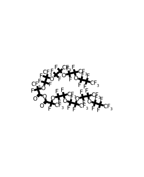 O=C(OC(=O)C(F)(OC(F)(F)C(F)(OC(F)(F)C(F)(OC(F)(F)C(F)(OC(F)(F)C(F)(F)C(F)(F)F)C(F)(F)F)C(F)(F)F)C(F)(F)F)C(F)(F)F)C(F)(OC(F)(F)C(F)(OC(F)(F)C(F)(OC(F)(F)C(F)(OC(F)(F)C(F)(F)C(F)(F)F)C(F)(F)F)C(F)(F)F)C(F)(F)F)C(F)(F)F